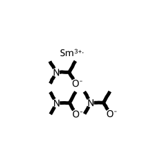 CC([O-])N(C)C.CC([O-])N(C)C.CC([O-])N(C)C.[Sm+3]